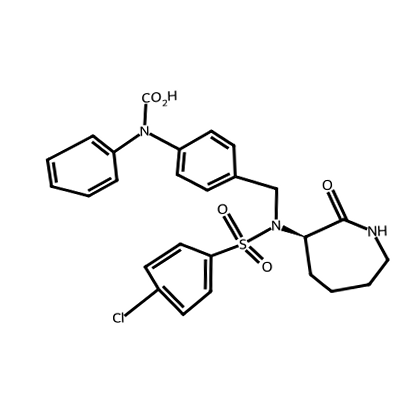 O=C1NCCCC[C@H]1N(Cc1ccc(N(C(=O)O)c2ccccc2)cc1)S(=O)(=O)c1ccc(Cl)cc1